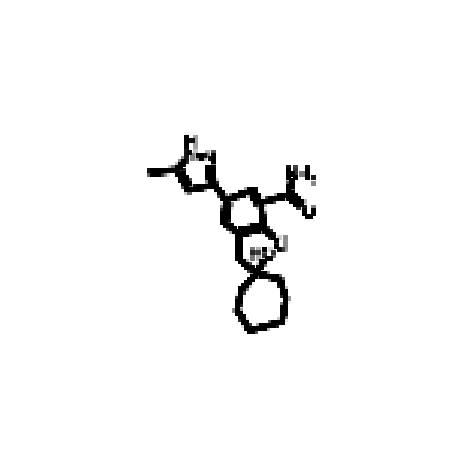 Cc1cc(-c2cc(CC3(O)CCCCCC3)c(Cl)c(C(N)=O)c2)n[nH]1